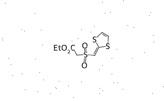 CCOC(=O)CS(=O)(=O)C=C1SC=CS1